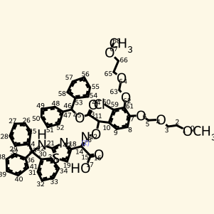 COCCOCOc1ccc(C(O/N=C(\C(=O)O)c2csc(NC(c3ccccc3)(c3ccccc3)c3ccccc3)n2)C(=O)OC(c2ccccc2)c2ccccc2)c(Cl)c1OCOCCOC